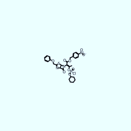 CC(OP(=O)(Cl)OC1CCCCC1)=C(C(=O)OCc1ccc([N+](=O)[O-])cc1)N1C(=O)C2N=C(COc3ccccc3)SC21